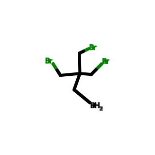 BCC(CBr)(CBr)CBr